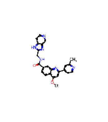 CCOc1cc(-c2ccnc(C)c2)nc2cc(C(=O)NCc3nc4cnccc4[nH]3)ccc12